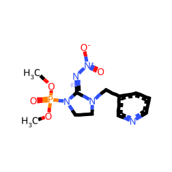 COP(=O)(OC)N1CCN(Cc2cccnc2)/C1=N\[N+](=O)[O-]